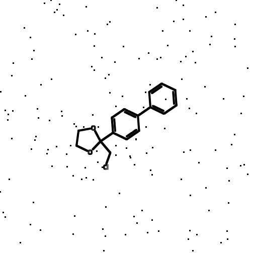 ClCC1(c2ccc(-c3ccccc3)cc2)OCCO1